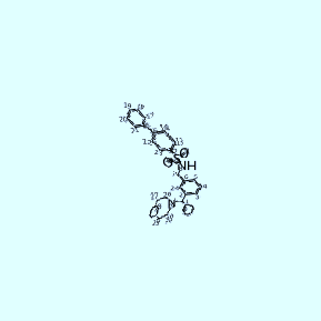 O=C(c1cccc(CNS(=O)(=O)c2ccc(-c3ccccc3)cc2)c1)N1CCOCC1